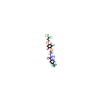 Cc1cc(OCC=C(Cl)Cl)cc(C)c1OCCCNC(=O)c1ccc(C(F)(F)F)cn1